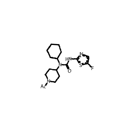 CC(=O)N1CCC(N(C(=O)Nc2ncc(F)s2)C2CCCCC2)CC1